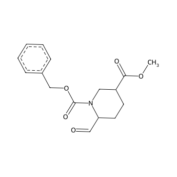 COC(=O)C1CCC(C=O)N(C(=O)OCc2ccccc2)C1